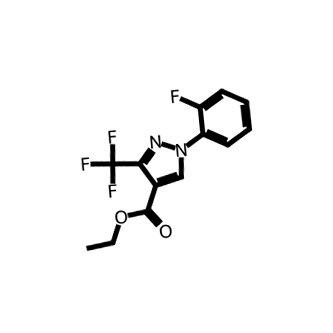 CCOC(=O)c1cn(-c2ccccc2F)nc1C(F)(F)F